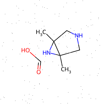 CC12CNCC1(C)N2.O=CO